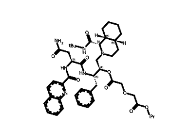 CC(C)OC(=O)COCC(=O)O[C@H](CN1CC[C@H]2CCCC[C@H]2[C@H]1C(=O)NC(C)(C)C)[C@H](Cc1ccccc1)NC(=O)[C@H](CC(N)=O)NC(=O)c1ccc2ccccc2n1